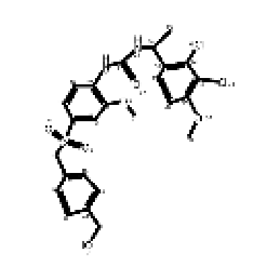 COc1cc(S(=O)(=O)Cc2ccc(CO)cc2)ccc1NC(=O)NC(C)c1ccc(OC)c(Cl)c1Cl